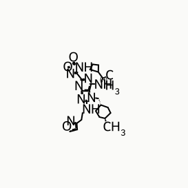 C[C@@H](Nc1nc(-c2noc(=O)[nH]2)nc2nc(NCCc3ccon3)n(C[C@H]3CC[C@H](C)CC3)c12)C1CCC1